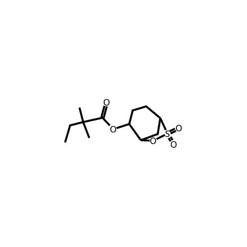 CCC(C)(C)C(=O)OC1CCC2CC1OS2(=O)=O